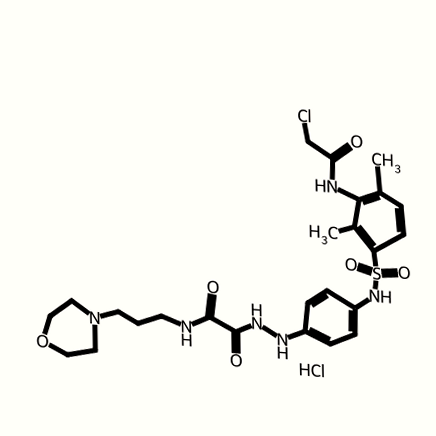 Cc1ccc(S(=O)(=O)Nc2ccc(NNC(=O)C(=O)NCCCN3CCOCC3)cc2)c(C)c1NC(=O)CCl.Cl